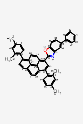 Cc1ccc(-c2ccc3ccc4c(-c5ccc(C)cc5C)cc(-c5nc6cc(-c7ccccc7)ccc6o5)c5ccc2c3c54)c(C)c1